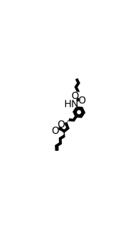 C=CCCC[C@@H]1C[C@@H](CCc2cccc(NC(=O)OCCCC)c2)OC1=O